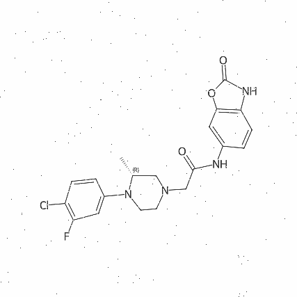 C[C@@H]1CN(CC(=O)Nc2ccc3[nH]c(=O)oc3c2)CCN1c1ccc(Cl)c(F)c1